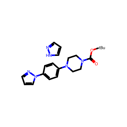 CC(C)(C)OC(=O)N1CCN(c2ccc(-n3cccn3)cc2)CC1.c1cn[nH]c1